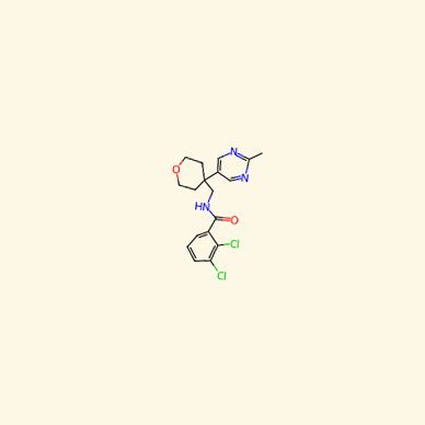 Cc1ncc(C2(CNC(=O)c3cccc(Cl)c3Cl)CCOCC2)cn1